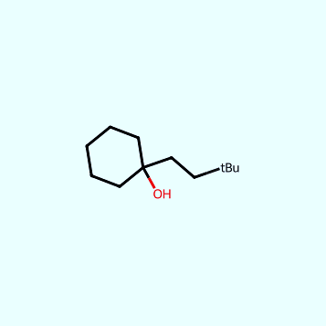 CC(C)(C)CCC1(O)CCCCC1